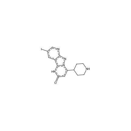 O=c1cc(C2CCNCC2)n2nc3ncc(I)cc3c2[nH]1